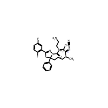 CCN(CCN)C(=O)N1N=C(c2cc(F)ccc2F)SC1(CCCN(C)/C(N)=N/C#N)c1ccccc1